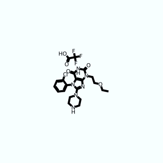 CCOCCn1c(=O)[nH]c(=O)c2c1nc(N1CCNCC1)n2-c1ccccc1Cl.O=C(O)C(F)(F)F